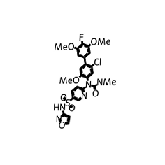 CNC(=O)N(c1ccc(S(=O)(=O)Nc2ccon2)cn1)c1cc(Cl)c(-c2cc(OC)c(F)c(OC)c2)cc1OC